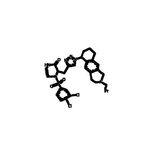 CC(C)CN1CCc2cc3c(cc2C1)CCCC3n1cc(CC2C(=O)NC=CN2S(=O)(=O)c2ccc(Cl)c(Cl)c2)nn1